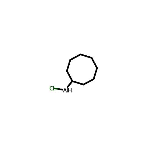 [Cl][AlH][CH]1CCCCCCC1